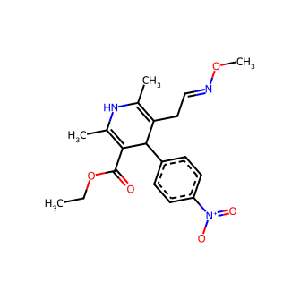 CCOC(=O)C1=C(C)NC(C)=C(CC=NOC)C1c1ccc([N+](=O)[O-])cc1